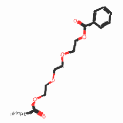 CCCCCCCC(=O)OCCOCCOCCOC(=O)c1ccccc1